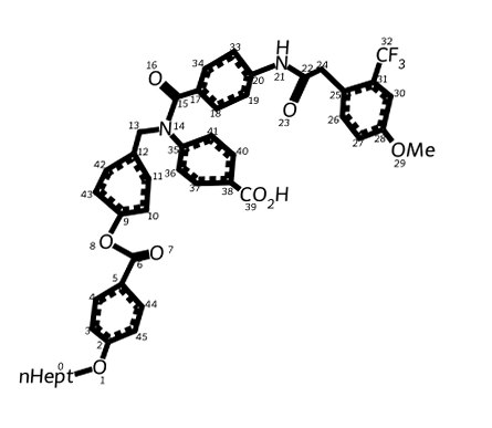 CCCCCCCOc1ccc(C(=O)Oc2ccc(CN(C(=O)c3ccc(NC(=O)Cc4ccc(OC)cc4C(F)(F)F)cc3)c3ccc(C(=O)O)cc3)cc2)cc1